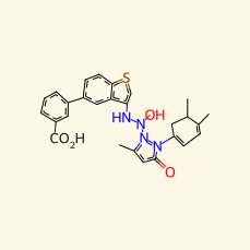 CC1=CC=C(n2c(=O)cc(C)n2N(O)Nc2csc3ccc(-c4cccc(C(=O)O)c4)cc23)CC1C